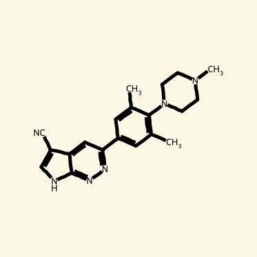 Cc1cc(-c2cc3c(C#N)c[nH]c3nn2)cc(C)c1N1CCN(C)CC1